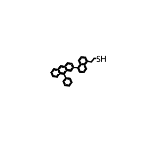 SCCc1cccc2c(-c3ccc4cc5ccccc5c(-c5ccccc5)c4c3)cccc12